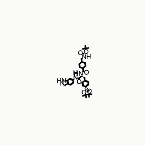 CC(C)(C)OC(=O)NCC1CCC(C(=O)N[C@@H](Cc2ccc(B3OC(C)(C)C(C)(C)O3)cc2)C(=O)Nc2ccc3cn[nH]c3c2)CC1